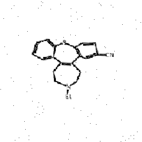 CCN1CCC2=C(CC1)c1cc(C#N)ccc1Sc1ccccc12